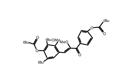 COC(=Cc1cc(C(C)(C)C)c(OC(=O)C(C)(C)C)c(C(C)(C)C)c1OC)C(=O)c1ccc(OC(=O)C(C)(C)C)cc1